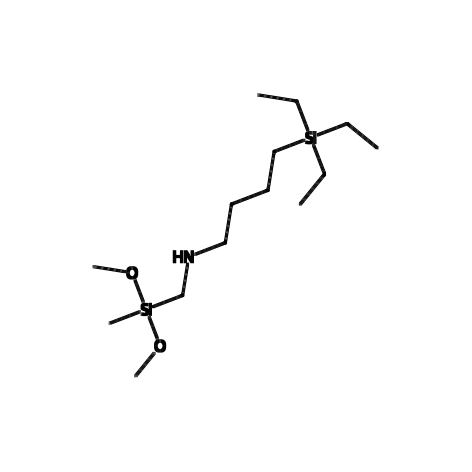 CC[Si](CC)(CC)CCCCNC[Si](C)(OC)OC